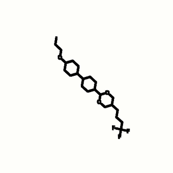 CCCOC1CCC(C2CCC(C3OCC(CCCC(F)(F)F)CO3)CC2)CC1